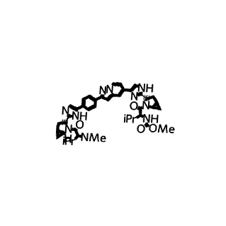 CNC(C(=O)N1[C@@H]2CC2C[C@H]1c1ncc(-c2ccc(-c3cc4cc(-c5c[nH]c([C@@H]6CC7CC7N6C(=O)C(NC(=O)OC)C(C)C)n5)ccn4n3)cc2)[nH]1)C(C)C